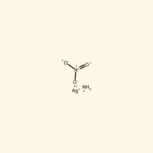 N.O=[N+]([O-])[O-].[Ag+]